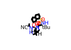 C[C@@H](C#N)NC(=O)[C@@H]1[C@@H]2[C@H](CN1C(=O)[C@@H](NS(=O)(=O)c1cccc3ccccc13)C(C)(C)C)C2(C)C